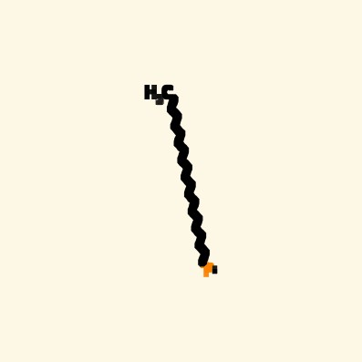 CCCCCCCCCCCCCCCCCCCCC[P]